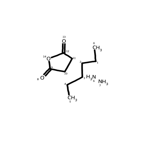 CCCCCC.N.N.O=C1CCC(=O)O1